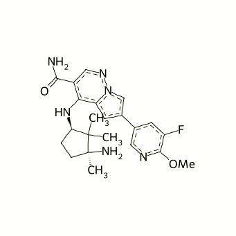 COc1ncc(-c2cc3c(N[C@@H]4CC[C@](C)(N)C4(C)C)c(C(N)=O)cnn3c2)cc1F